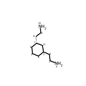 NCCC1CCC[C@H](CCN)C1